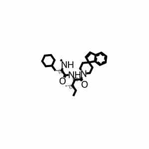 CC[C@H](C)[C@@H](NC(=O)[C@H](CC1CCCCC1)NC)C(=O)N1CCC2(C=Cc3ccccc32)CC1